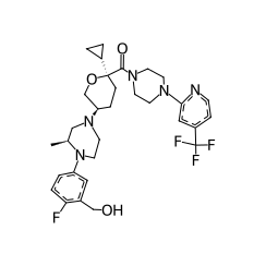 C[C@H]1CN([C@@H]2CC[C@@](C(=O)N3CCN(c4cc(C(F)(F)F)ccn4)CC3)(C3CC3)OC2)CCN1c1ccc(F)c(CO)c1